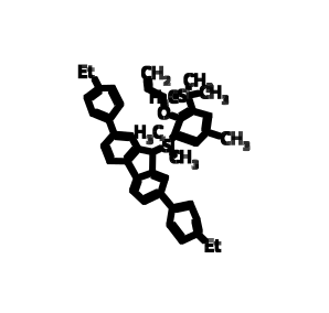 C=CCOc1c([Si](C)(C)C)cc(C)cc1[Si](C)(C)C1c2cc(-c3ccc(CC)cc3)ccc2-c2ccc(-c3ccc(CC)cc3)cc21